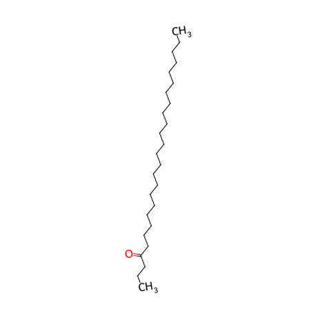 CCCCCCCCCCCCCCCCCCCCCCC(=O)CCC